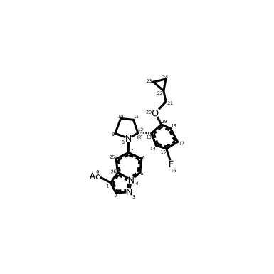 CC(=O)c1cnn2ccc(N3CCC[C@@H]3c3cc(F)ccc3OCC3CC3)cc12